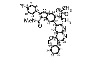 CNC(=O)c1c(-c2ccc(F)cc2)oc2cc(N(C)S(C)(=O)=O)c(-c3cnc4ncn(-c5ccccc5F)c(=O)c4c3)cc12